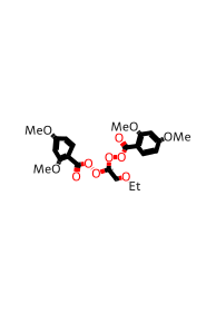 [CH2]COC[C](OOC(=O)c1ccc(OC)cc1OC)OOC(=O)c1ccc(OC)cc1OC